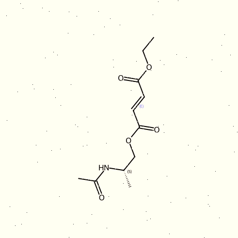 CCOC(=O)/C=C/C(=O)OC[C@H](C)NC(C)=O